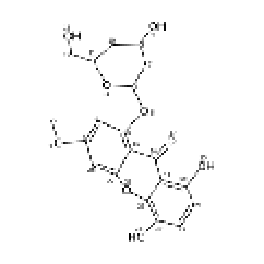 COc1cc(OC2CC(O)CC(CO)O2)c2c(=O)c3c(O)ccc(O)c3oc2c1